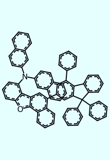 c1ccc(-c2cc(-c3cc4c(oc5cccc(N(c6ccc7ccccc7c6)c6ccc7ccccc7c6)c54)c4ccccc34)cc3c2-c2ccccc2C3(c2ccccc2)c2ccccc2)cc1